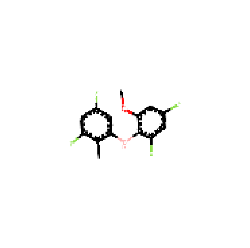 COc1cc(F)cc(F)c1Bc1cc(F)cc(F)c1C